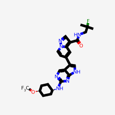 CC(C)(F)CNC(=O)c1cnn2ccc(-c3c[nH]c4nc(N[C@H]5CC[C@@H](OC(F)(F)F)CC5)ncc34)cc12